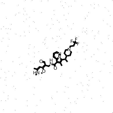 CN/C(C)=C\C(OC)=C(/C=O)CNC(=O)c1c(C)c(C(C)C2CCN(CCC(F)(F)F)CC2)n2ncccc12